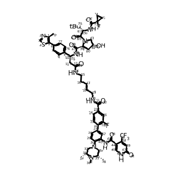 Cc1ncsc1-c1ccc([C@H](CC(=O)NCCCCCNC(=O)c2ccc(-c3ccc(N4C[C@@H](C)N(C)[C@@H](C)C4)c(NC(=O)c4c[nH]c(=O)cc4C(F)(F)F)c3)c(F)c2)NC(=O)[C@@H]2C[C@@H](O)CN2C(=O)[C@@H](NC(=O)C2(F)CC2)C(C)(C)C)cc1